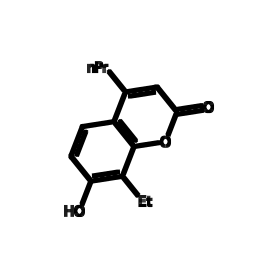 CCCc1cc(=O)oc2c(CC)c(O)ccc12